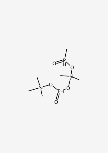 C[PH](=O)O[Si](C)(C)O[PH](=O)O[Si](C)(C)C